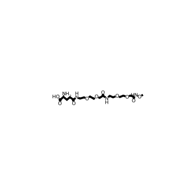 CONC(=O)COCCOCCNC(=O)COCCOCCNC(=O)CC[C@H](N)C(=O)O